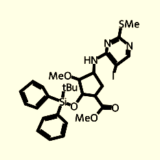 COC(=O)C1CC(Nc2nc(SC)ncc2I)C(OC)C1O[Si](c1ccccc1)(c1ccccc1)C(C)(C)C